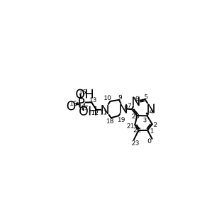 Cc1cc2ncnc(N3CCN(CCP(=O)(O)O)CC3)c2cc1C